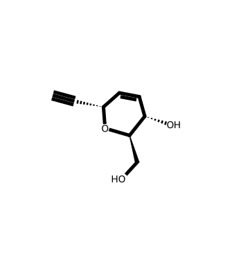 C#C[C@@H]1C=C[C@H](O)[C@@H](CO)O1